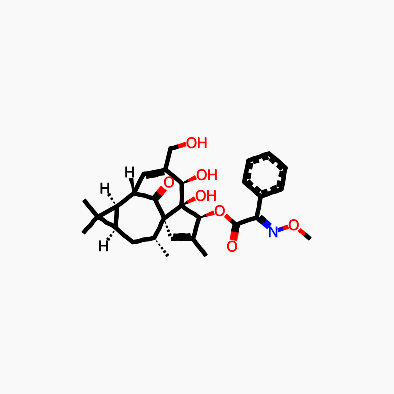 CO/N=C(/C(=O)O[C@H]1C(C)=C[C@]23C(=O)[C@@H](C=C(CO)[C@@H](O)[C@]12O)[C@H]1[C@@H](C[C@H]3C)C1(C)C)c1ccccc1